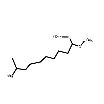 CCCCCCCCCCOC(CCCCCCCC(C)CCCC)OCCCCCCCCCC